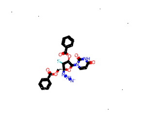 [N-]=[N+]=N[C@]1(COC(=O)c2ccccc2)OC(n2ccc(=O)[nH]c2=O)[C@H](OC(=O)c2ccccc2)[C@@H]1F